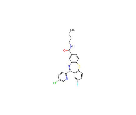 CCCCNC(=O)c1ccc2c(c1)N=C(c1ccc(Cl)cn1)c1cc(F)ccc1S2